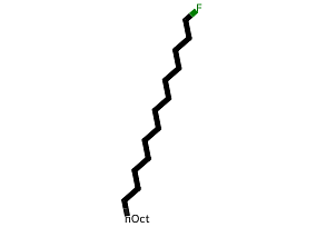 [CH2]CCCCCCCCCCCCCCCCCCCCF